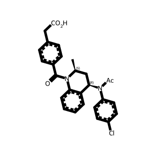 CC(=O)N(c1ccc(Cl)cc1)[C@@H]1C[C@H](C)N(C(=O)c2ccc(CC(=O)O)cc2)c2ccccc21